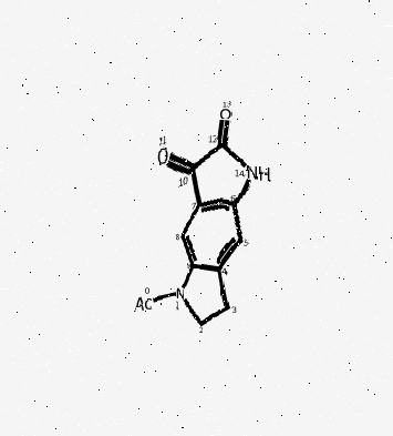 CC(=O)N1CCc2cc3c(cc21)C(=O)C(=O)N3